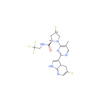 Cc1cnc(C2=CNC3=NC=C(F)CC23)nc1N1C[C@H](F)C[C@@H]1C(=O)NCC(F)(F)F